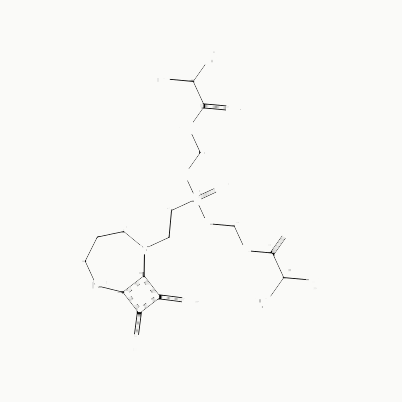 CCCC(CCC)C(=O)OCOP(=O)(CCN1CCCNc2c1c(=O)c2=O)OCOC(=O)C(CCC)CCC